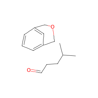 CC(C)CCC=O.c1cc2cc(c1)COC2